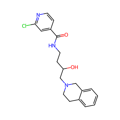 O=C(NCCC(O)CN1CCc2ccccc2C1)c1ccnc(Cl)c1